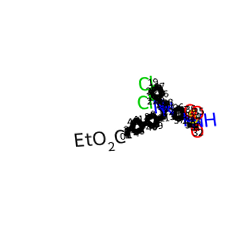 CCOC(=O)CCc1ccc(-c2ccc(Cc3nc(-c4ccc(Cl)cc4Cl)cn3-c3ccc(N4CC(=O)NS4(=O)=O)cc3)cc2)cc1